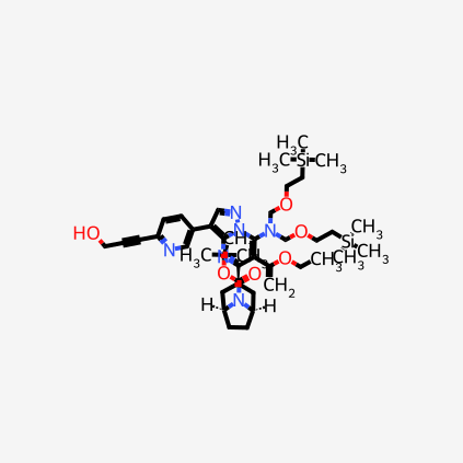 C=C(OCC)c1c([C@H]2C[C@H]3CC[C@@H](C2)N3C(=O)OC(C)(C)C)nc2c(-c3ccc(C#CCO)nc3)cnn2c1N(COCC[Si](C)(C)C)COCC[Si](C)(C)C